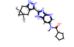 CN(C(=O)C1CCCC1)c1cnc2nc(-c3n[nH]c4c3C[C@@H]3C[C@]3(C)C4)[nH]c2c1